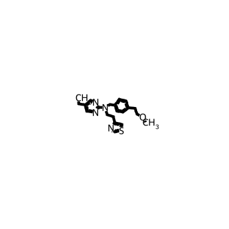 CCc1cnc(N(CCc2cs[c]n2)Cc2ccc(CCOC)cc2)nc1